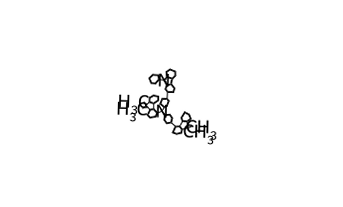 CC1(C)c2ccccc2-c2c(-c3ccc(N(c4ccc(-c5ccc6c7ccccc7n(-c7ccccc7)c6c5)cc4)c4cccc5c4-c4ccccc4C5(C)C)cc3)cccc21